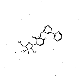 C[C@]1(O)C(O)[C@H](n2ccc(=O)n(Cc3cc(-c4ccccn4)ccn3)c2=O)O[C@@H]1CO